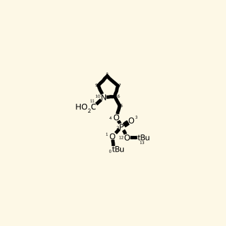 CC(C)(C)OP(=O)(OCC1CCCN1C(=O)O)OC(C)(C)C